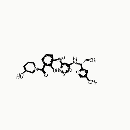 CC[C@@H](Nc1nsnc1Nc1cccc(C(=O)N2CCCC(O)C2)c1O)c1cc(C)co1